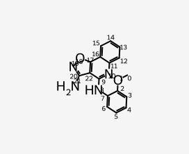 COc1ccccc1Nc1nc2ccccc2c2onc(N)c12